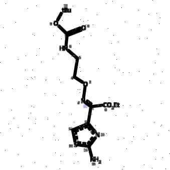 CCOC(=O)/C(=N\OCCNC(=O)OC(C)(C)C)c1csc(N)n1